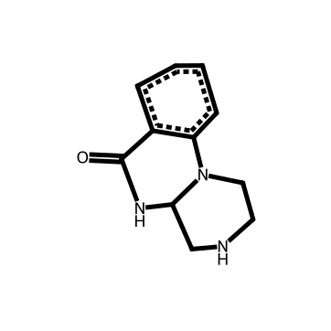 O=C1NC2CNCCN2c2ccccc21